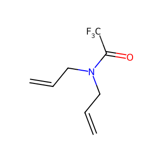 C=CCN(CC=C)C(=O)C(F)(F)F